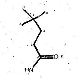 CC(C)(C)CCC([NH])=O